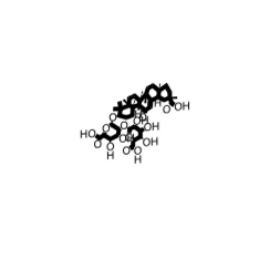 CC1(C)[C@@H](O[C@H]2OC(C(=O)O)[C@@H](O)C(O)C2O[C@@H]2OC(C(=O)O)[C@@H](O)C(O)C2O)CC[C@]2(C)[C@H]3C(=O)C=C4[C@@H]5C[C@@](C)(C(=O)O)CC[C@]5(C)CC[C@@]4(C)[C@]3(C)CC[C@@]12C